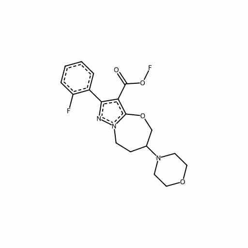 O=C(OF)c1c(-c2ccccc2F)nn2c1OCC(N1CCOCC1)CC2